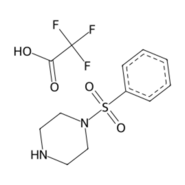 O=C(O)C(F)(F)F.O=S(=O)(c1ccccc1)N1CCNCC1